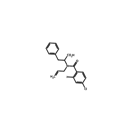 C=CCN(C(=O)c1ccc(Cl)cc1I)C(Cc1ccccc1)C(=O)O